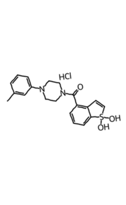 Cc1cccc(N2CCN(C(=O)c3cccc4c3C=CS4(O)O)CC2)c1.Cl